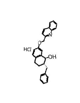 Cl.O[C@@H]1c2cc(OCc3ccc4ccccc4n3)ccc2CC[C@H]1Cc1ccccc1